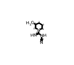 CC1CCCN(C(=N)NC#N)C1